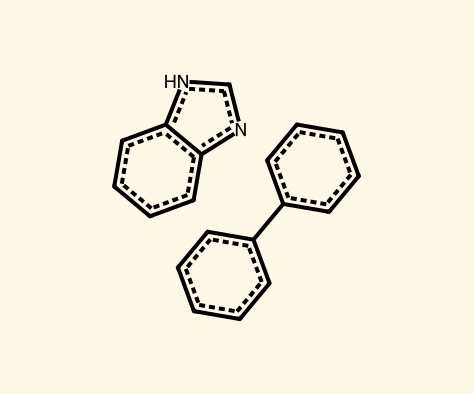 c1ccc(-c2ccccc2)cc1.c1ccc2[nH]cnc2c1